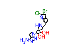 Nc1ncnc2c1ccn2C1CC2(CNC(Cc3ccc4cc(Br)c(Cl)nc4c3)C2)C(O)C1O